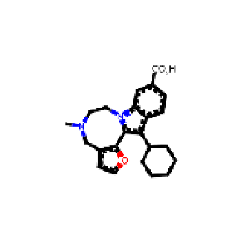 CN1CCn2c(c(C3CCCCC3)c3ccc(C(=O)O)cc32)-c2occc2C1